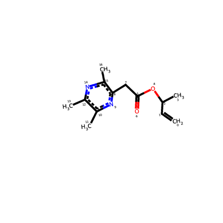 C=CC(C)OC(=O)Cc1nc(C)c(C)nc1C